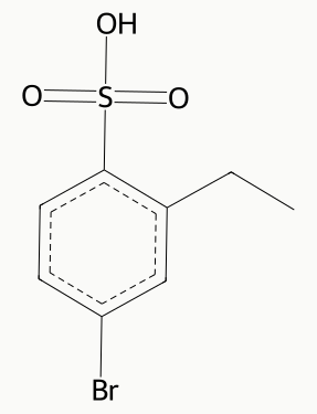 CCc1cc(Br)ccc1S(=O)(=O)O